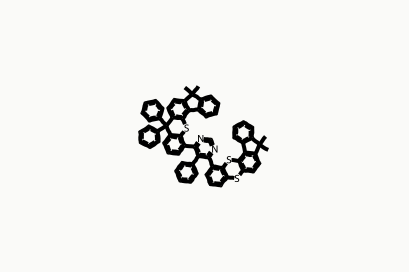 CC1(C)c2ccccc2-c2c1ccc1c2Sc2c(cccc2-c2ncnc(-c3cccc4c3Sc3c(ccc5c3-c3ccccc3C5(C)C)C4(c3ccccc3)c3ccccc3)c2-c2ccccc2)S1